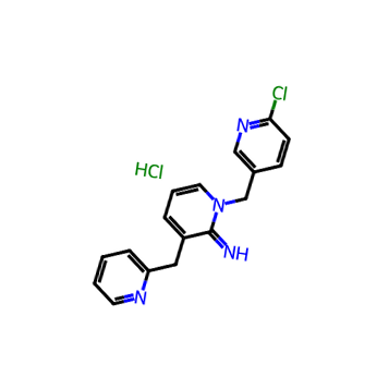 Cl.N=c1c(Cc2ccccn2)cccn1Cc1ccc(Cl)nc1